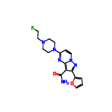 NC(=O)c1c(-c2ccco2)nn2ccc(N3CCN(CCF)CC3)nc12